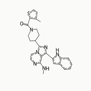 CNc1nccn2c(C3CCN(C(=O)c4sccc4C)CC3)nc(-c3cc4ccccc4[nH]3)c12